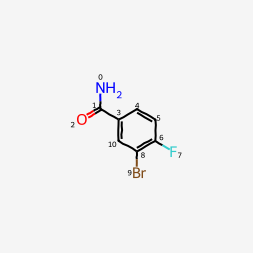 NC(=O)c1ccc(F)c(Br)c1